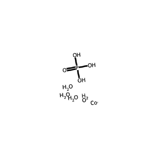 O.O.O.O.O=P(O)(O)O.[Co]